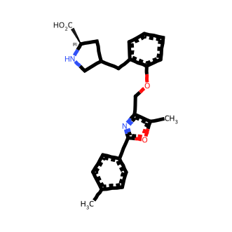 Cc1ccc(-c2nc(COc3ccccc3CC3CN[C@@H](C(=O)O)C3)c(C)o2)cc1